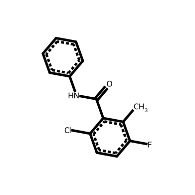 Cc1c(F)ccc(Cl)c1C(=O)Nc1ccccc1